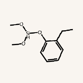 CCc1ccccc1O[SiH](OC)OC